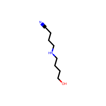 N#CCCCNCCCCO